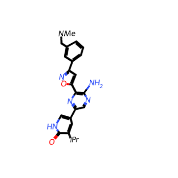 CNCc1cccc(-c2cc(-c3nc(-c4c[nH]c(=O)c(C(C)C)c4)cnc3N)on2)c1